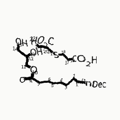 CCCCCCCCCCCCCCCCCC(=O)OCC(O)CO.O=C(O)CCSCCC(=O)O